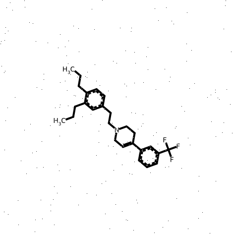 CCCc1ccc(CCN2CC=C(c3cccc(C(F)(F)F)c3)CC2)cc1CCC